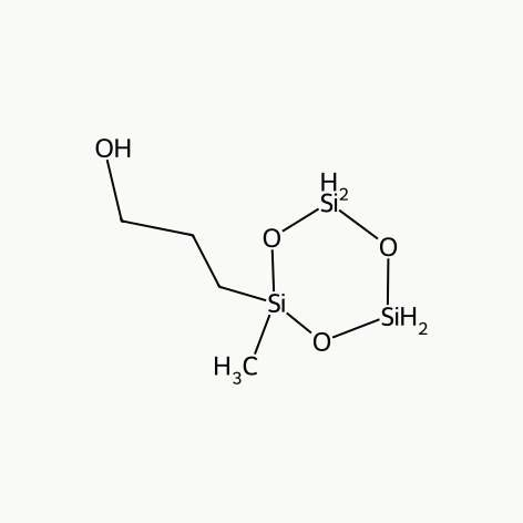 C[Si]1(CCCO)O[SiH2]O[SiH2]O1